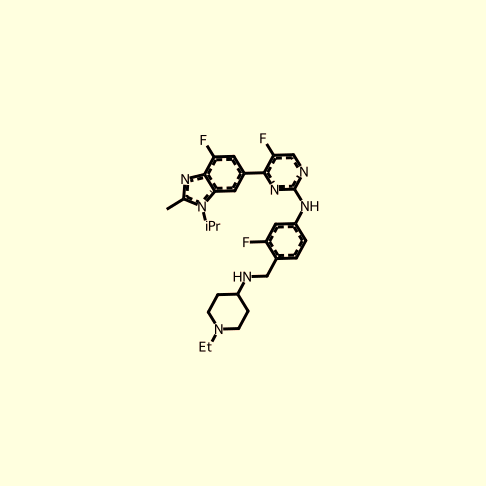 CCN1CCC(NCc2ccc(Nc3ncc(F)c(-c4cc(F)c5nc(C)n(C(C)C)c5c4)n3)cc2F)CC1